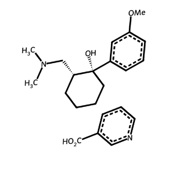 COc1cccc([C@@]2(O)CCCC[C@@H]2CN(C)C)c1.O=C(O)c1cccnc1